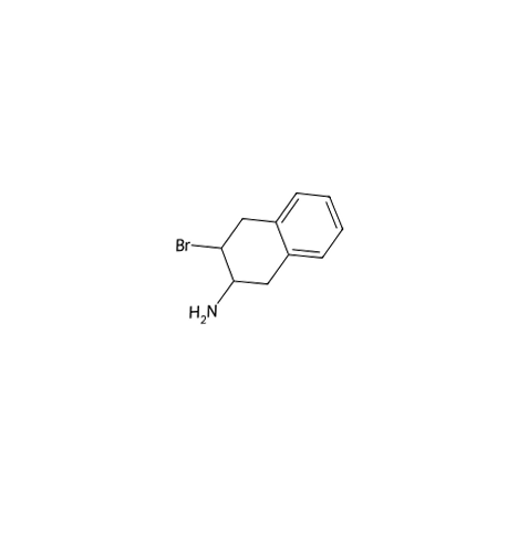 NC1Cc2ccccc2CC1Br